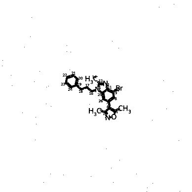 Cc1noc(C)c1-c1cc(Br)c2nc(C)n(CCCc3ccccc3)c2c1